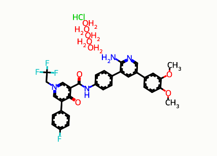 COc1ccc(-c2cnc(N)c(-c3ccc(NC(=O)c4cn(CC(F)(F)F)cc(-c5ccc(F)cc5)c4=O)cc3)c2)cc1OC.Cl.O.O.O.O.O